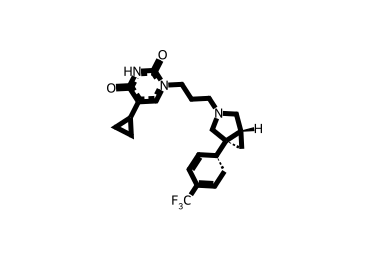 O=c1[nH]c(=O)n(CCCN2C[C@@H]3C[C@]3([C@H]3C=CC(C(F)(F)F)=CC3)C2)cc1C1CC1